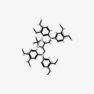 CCc1ccc(P(CC2OC(C)(C)OC2CP(c2ccc(CC)c(CC)c2)c2ccc(CC)c(CC)c2)c2ccc(CC)c(CC)c2)cc1CC